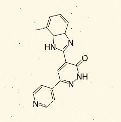 CC1=CC=CC2N=C(c3cc(-c4ccncc4)n[nH]c3=O)NC12